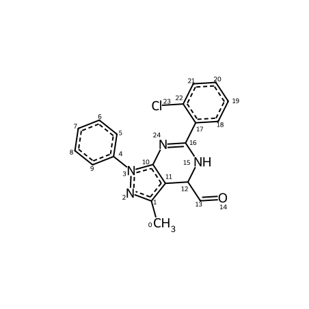 Cc1nn(-c2ccccc2)c2c1C(C=O)NC(c1ccccc1Cl)=N2